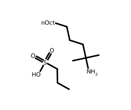 CCCCCCCCCCCC(C)(C)N.CCCS(=O)(=O)O